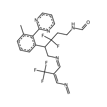 C=N/C=C(\C=N/CC(c1cccc(C)c1-c1ncccn1)C(F)(F)CCNC=O)C(F)(F)F